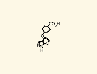 O=C(O)C1CCC(Oc2ccnc3[nH]ncc23)CC1